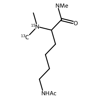 CC(=O)NCCCCC(C(=O)N[13CH3])[15N](C)[13CH3]